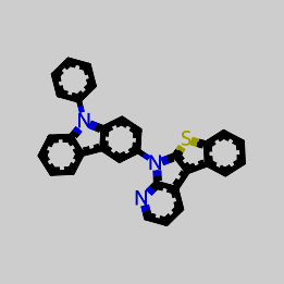 c1ccc(-n2c3ccccc3c3cc(-n4c5ncccc5c5c6ccccc6sc54)ccc32)cc1